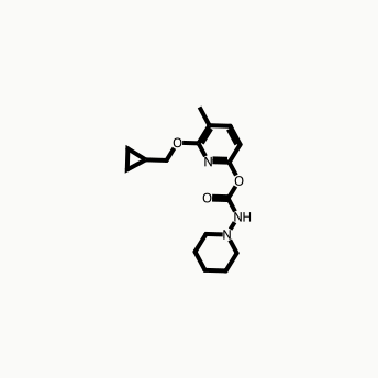 Cc1ccc(OC(=O)NN2CCCCC2)nc1OCC1CC1